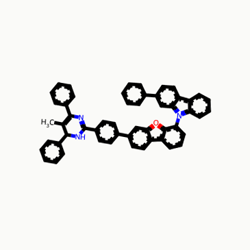 CC1=C(c2ccccc2)N=C(c2ccc(-c3ccc4c(c3)oc3c(-n5c6ccccc6c6ccc(-c7ccccc7)cc65)cccc34)cc2)NC1c1ccccc1